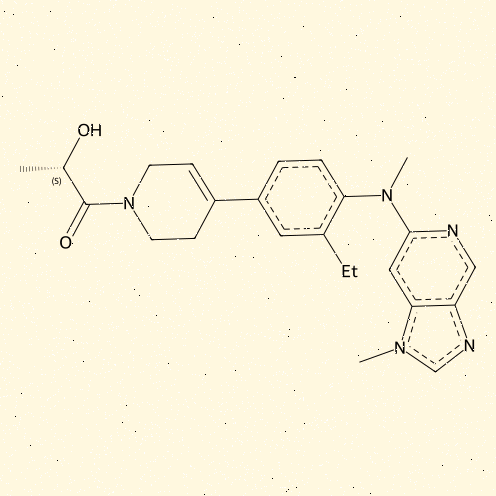 CCc1cc(C2=CCN(C(=O)[C@H](C)O)CC2)ccc1N(C)c1cc2c(cn1)ncn2C